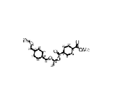 COC(=O)C1CCC(C(=O)OC(C)OCC2CCC(COC(C)C)CC2)CC1